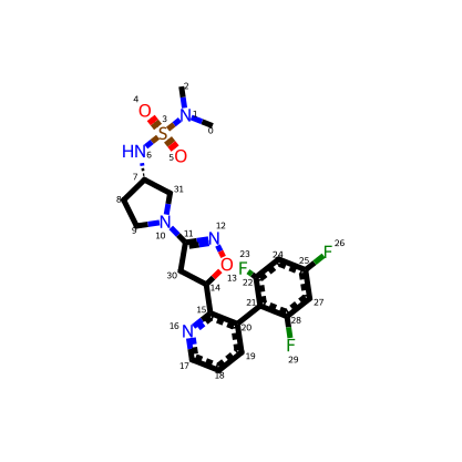 CN(C)S(=O)(=O)N[C@H]1CCN(C2=NOC(c3ncccc3-c3c(F)cc(F)cc3F)C2)C1